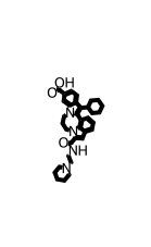 O=C(O)c1ccc2c(C3CCCCC3)c3n(c2c1)CCCn1c(C(=O)NCCN2CCCCC2)cc2cccc-3c21